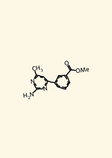 COC(=O)c1cccc(-c2cc(C)nc(N)n2)c1